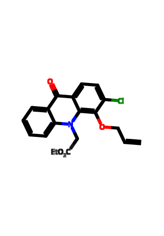 C=CCOc1c(Cl)ccc2c(=O)c3ccccc3n(CC(=O)OCC)c12